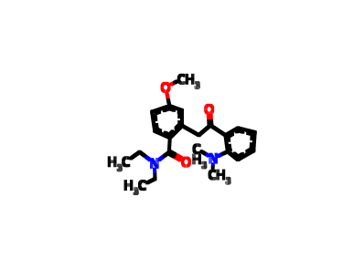 CCN(CC)C(=O)c1ccc(OC)cc1CC(=O)c1ccccc1N(C)C